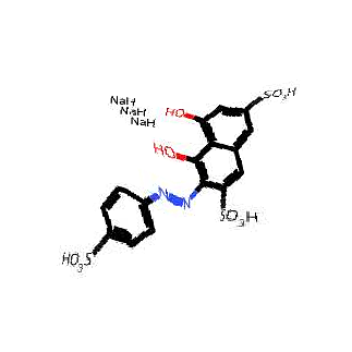 O=S(=O)(O)c1ccc(N=Nc2c(S(=O)(=O)O)cc3cc(S(=O)(=O)O)cc(O)c3c2O)cc1.[NaH].[NaH].[NaH]